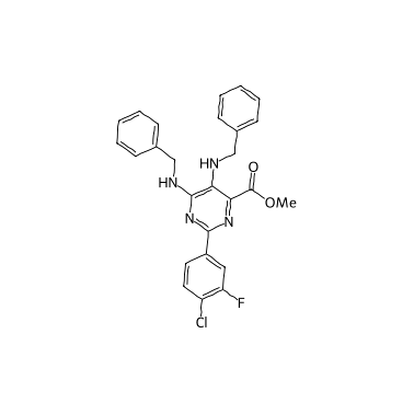 COC(=O)c1nc(-c2ccc(Cl)c(F)c2)nc(NCc2ccccc2)c1NCc1ccccc1